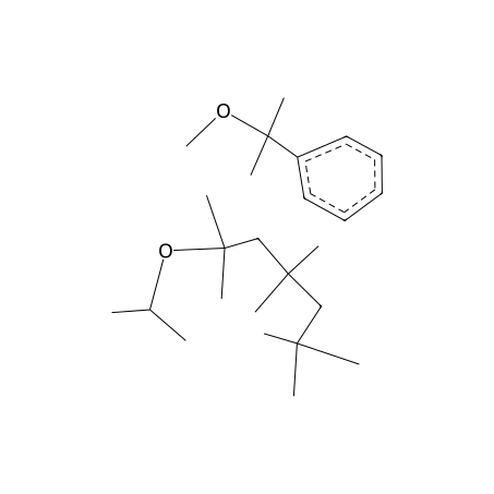 CC(C)OC(C)(C)CC(C)(C)CC(C)(C)C.COC(C)(C)c1ccccc1